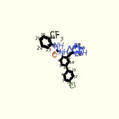 O=C(Nc1ccc(-c2ccc(Cl)cc2)cc1-c1nnn[nH]1)Nc1ccccc1C(F)(F)F